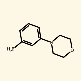 Bc1cccc(N2CCOCC2)c1